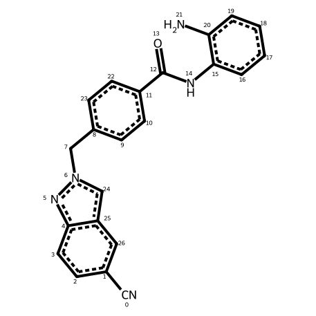 N#Cc1ccc2nn(Cc3ccc(C(=O)Nc4ccccc4N)cc3)cc2c1